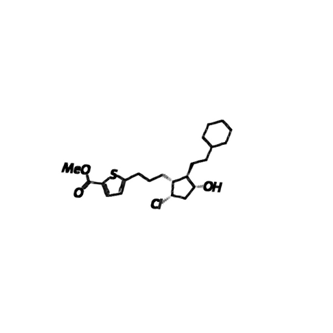 COC(=O)c1ccc(CCC[C@@H]2[C@@H](CCC3CCCCC3)[C@H](O)C[C@@H]2Cl)s1